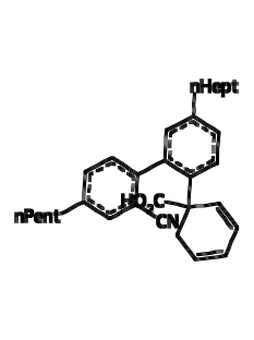 CCCCCCCc1ccc(C2(C(=O)O)C=CC=CC2)c(-c2ccc(CCCCC)cc2C#N)c1